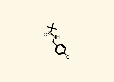 CC(C)(C)[S@+]([O-])NCc1ccc(Cl)cc1